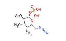 CC(=O)OC1[C@@H](OP(=O)(O)O)OC(CN=[N+]=[N-])[C@@H](C)[C@@H]1C